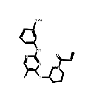 C=CC(=O)N1CCCC(Oc2nc(Nc3cccc(OC)c3)ncc2F)C1